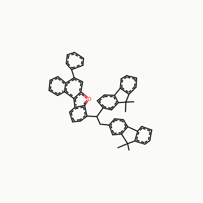 CC1(C)c2ccccc2-c2ccc(CC(c3ccc4c(c3)C(C)(C)c3ccccc3-4)c3cccc4c3oc3cc(-c5ccccc5)c5ccccc5c34)cc21